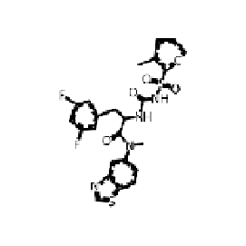 Cc1ccccc1S(=O)(=O)NC(=O)NC(Cc1cc(F)cc(F)c1)C(=O)N(C)c1ccc2scnc2c1